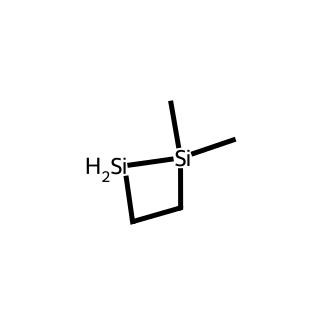 C[Si]1(C)CC[SiH2]1